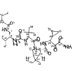 CC(C)OC(=O)NC[C@@H](NC(=O)N[C@H](C(=O)N1C[C@H]2[C@@H]([C@H]1C(=O)NC(C(=O)C(N)=O)C1CC1)C2(C)C)C(C)(C)C)C(C)C